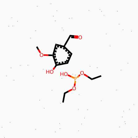 CCOP(O)OCC.COc1cc(C=O)ccc1O